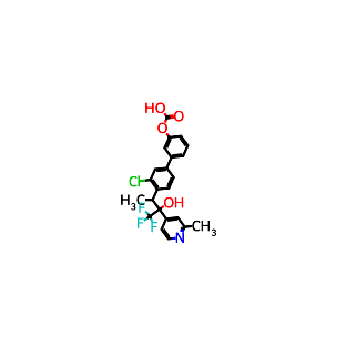 Cc1cc(C(O)(C(C)c2ccc(-c3cccc(OC(=O)O)c3)cc2Cl)C(F)(F)F)ccn1